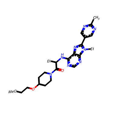 CCC(Nc1ncnc2c1nc(-c1cnc(C)nc1)n2CC)C(=O)N1CCC(OCCOC)CC1